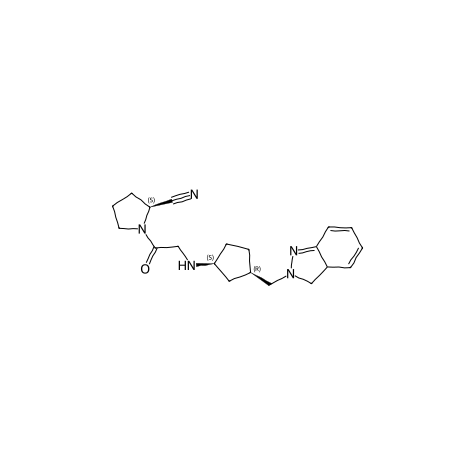 N#C[C@@H]1CCCN1C(=O)CN[C@H]1CC[C@@H](CN2CC3C=CC=CC3=N2)C1